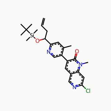 C=CCC(O[Si](C)(C)C(C)(C)C)c1cc(C)c(-c2cc3cnc(Cl)cc3n(C)c2=O)cn1